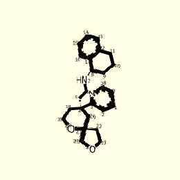 c1ccc([C@]2(CCN[C@H]3CCCc4ccccc43)CCO[C@]3(CCOC3)C2)nc1